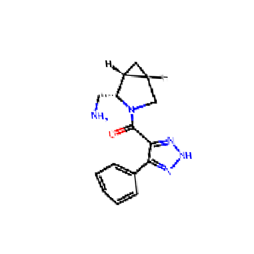 NC[C@@H]1[C@@H]2C[C@@H]2CN1C(=O)c1n[nH]nc1-c1ccccc1